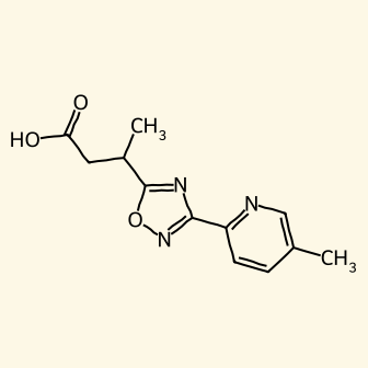 Cc1ccc(-c2noc(C(C)CC(=O)O)n2)nc1